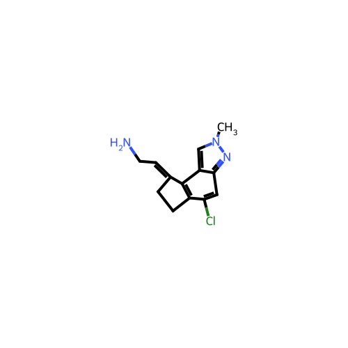 Cn1cc2c3c(c(Cl)cc2n1)CC/C3=C\CN